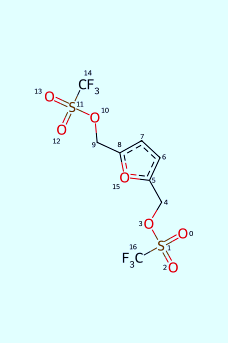 O=S(=O)(OCc1ccc(COS(=O)(=O)C(F)(F)F)o1)C(F)(F)F